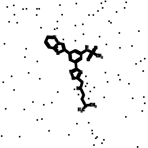 CN(C)CCNCc1nc(-c2cc(NS(C)(=O)=O)cc(-c3cn4ncccc4n3)c2)no1